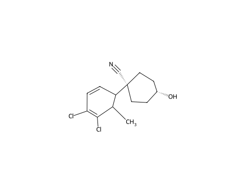 CC1C(Cl)=C(Cl)C=CC1[C@]1(C#N)CC[C@@H](O)CC1